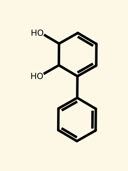 OC1C=CC=C(c2ccccc2)C1O